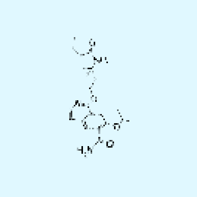 CCC1C[C@@H](CCOc2nccc3cc(C(N)=O)c(OC(C)C)cc23)NC1=O